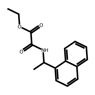 CCOC(=O)C(=O)NC(C)c1cccc2ccccc12